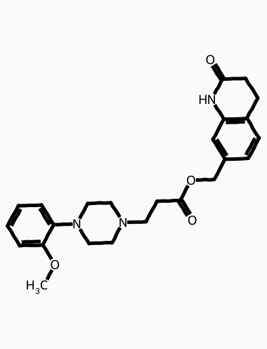 COc1ccccc1N1CCN(CCC(=O)OCc2ccc3c(c2)NC(=O)CC3)CC1